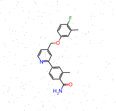 Cc1cc(OCc2ccnc(-c3ccc(C(N)=O)c(C)c3)c2)ccc1F